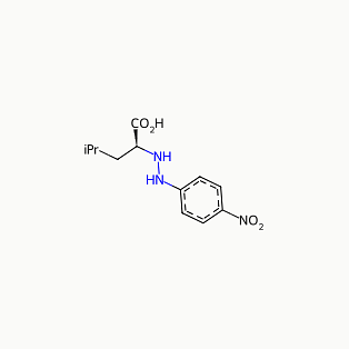 CC(C)C[C@H](NNc1ccc([N+](=O)[O-])cc1)C(=O)O